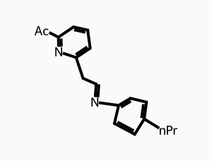 CCCc1ccc(N=CCc2cccc(C(C)=O)n2)cc1